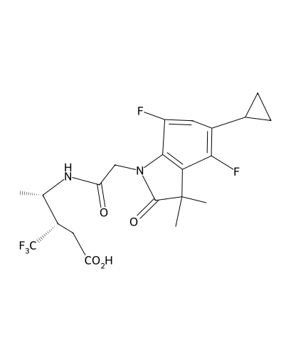 C[C@H](NC(=O)CN1C(=O)C(C)(C)c2c(F)c(C3CC3)cc(F)c21)[C@H](CC(=O)O)C(F)(F)F